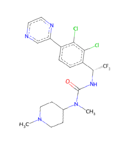 CN1CCC(N(C)C(=O)N[C@H](c2ccc(-c3cnccn3)c(Cl)c2Cl)C(F)(F)F)CC1